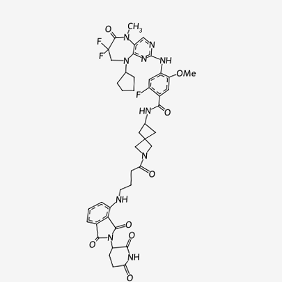 COc1cc(C(=O)NC2CC3(C2)CN(C(=O)CCCNc2cccc4c2C(=O)N(C2CCC(=O)NC2=O)C4=O)C3)c(F)cc1Nc1ncc2c(n1)N(C1CCCC1)CC(F)(F)C(=O)N2C